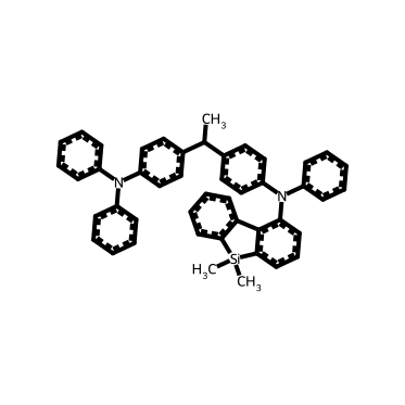 CC(c1ccc(N(c2ccccc2)c2ccccc2)cc1)c1ccc(N(c2ccccc2)c2cccc3c2-c2ccccc2[Si]3(C)C)cc1